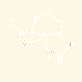 COC1(OC)C([SiH2]C(C)C)CCCC1[SiH2]C(C)C